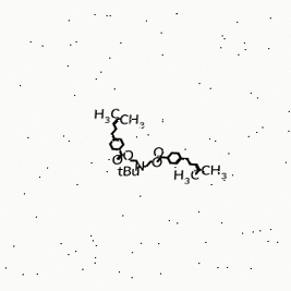 CC(C)=CCCC1=CCC(C(=O)OCCN(CCOC(=O)C2CC=C(CCC=C(C)C)CC2)C(C)(C)C)CC1